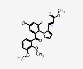 COC(=O)/C=C/c1cccn1-c1c(F)cc(Cl)cc1C(=O)c1cccc(OC)c1OC